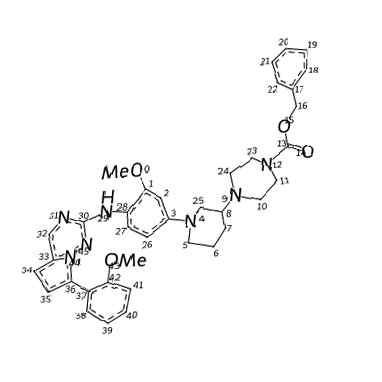 COc1cc(N2CCCC(N3CCN(C(=O)OCc4ccccc4)CC3)C2)ccc1Nc1ncc2ccc(-c3ccccc3OC)n2n1